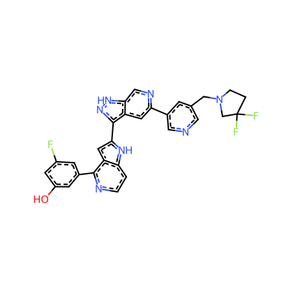 Oc1cc(F)cc(-c2nccc3[nH]c(-c4n[nH]c5cnc(-c6cncc(CN7CCC(F)(F)C7)c6)cc45)cc23)c1